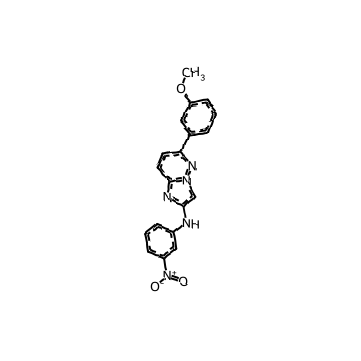 COc1cccc(-c2ccc3nc(Nc4cccc([N+](=O)[O-])c4)cn3n2)c1